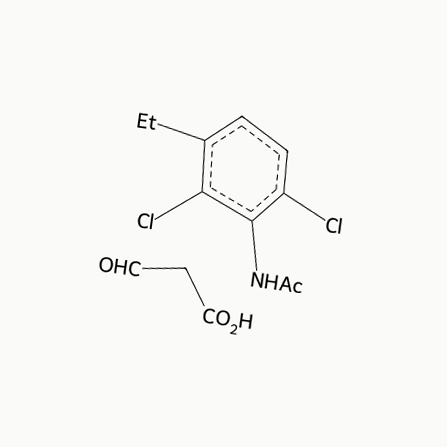 CCc1ccc(Cl)c(NC(C)=O)c1Cl.O=CCC(=O)O